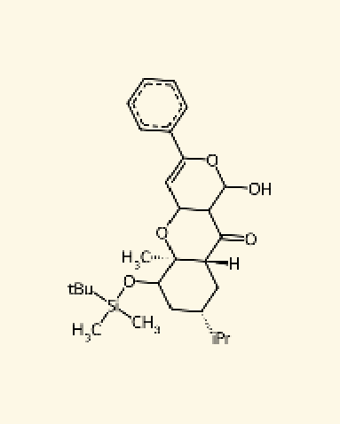 CC(C)[C@@H]1CC(O[Si](C)(C)C(C)(C)C)[C@@]2(C)OC3C=C(c4ccccc4)OC(O)C3C(=O)[C@@H]2C1